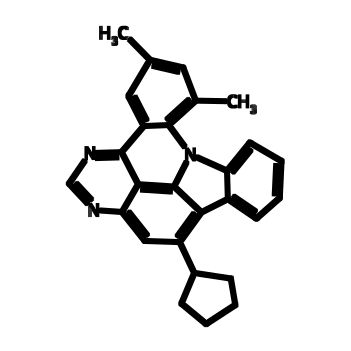 Cc1cc(C)c2c(c1)c1ncnc3cc(C4CCCC4)c4c5ccccc5n2c4c31